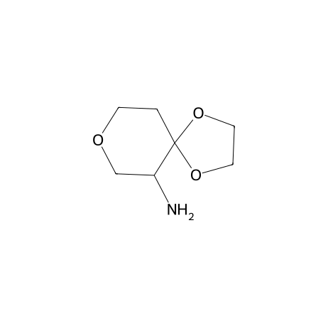 NC1COCCC12OCCO2